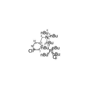 CCCC[N+](CCCC)(CCCC)Cc1ccccc1.CCCC[P+](CCCC)(CCCC)CCCC.[Cl-].[Cl-]